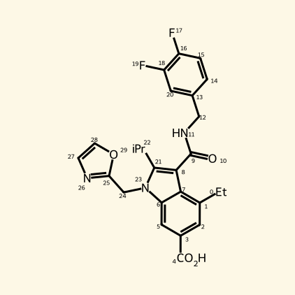 CCc1cc(C(=O)O)cc2c1c(C(=O)NCc1ccc(F)c(F)c1)c(C(C)C)n2Cc1ncco1